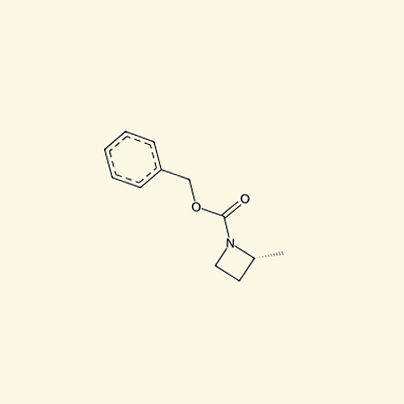 C[C@@H]1CCN1C(=O)OCc1ccccc1